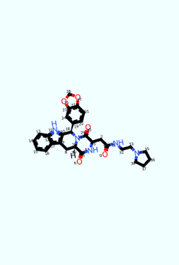 O=C(CC1NC(=O)[C@H]2Cc3c([nH]c4ccccc34)[C@@H](c3ccc4c(c3)OCO4)N2C1=O)NCCN1CCCC1